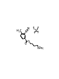 CCCCCCCCCCCCCCOC(=O)c1ccc(C)c([N+]#N)c1.F[B-](F)(F)F